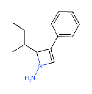 CCC(C)C1C(c2ccccc2)=CN1N